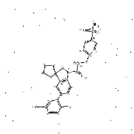 Cc1ccc(F)cc1-c1ccc2c(c1)C1(CCCC1)CN2C(=O)NCc1ccc(S(N)(=O)=O)cc1